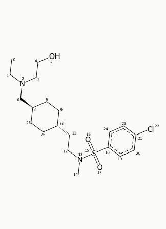 CCN(CCO)C[C@H]1CC[C@H](CCN(C)S(=O)(=O)c2ccc(Cl)cc2)CC1